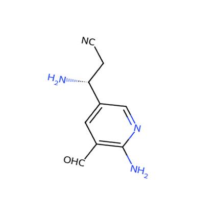 N#CC[C@@H](N)c1cnc(N)c(C=O)c1